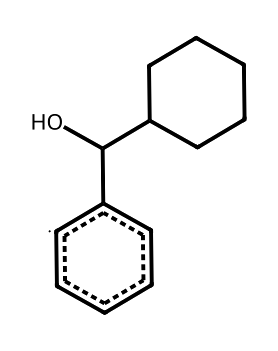 OC(c1[c]cccc1)C1CCCCC1